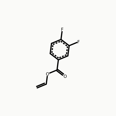 C=COC(=O)c1ccc(F)c(F)c1